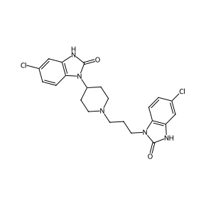 O=c1[nH]c2cc(Cl)ccc2n1CCCN1CCC(n2c(=O)[nH]c3cc(Cl)ccc32)CC1